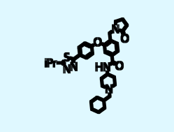 CC(C)c1nnc(-c2ccc(Oc3cc(C(=O)NC4CCN(CC5CCCCC5)CC4)ccc3CN3CCCC3=O)cc2)s1